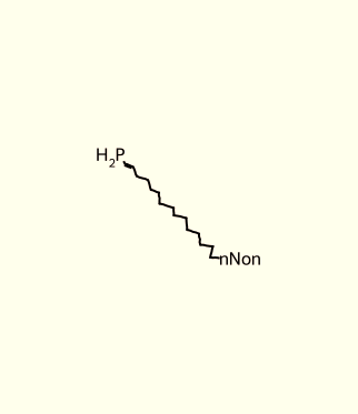 CCCCCCCCCCCCCCCCCCCCCCC=CP